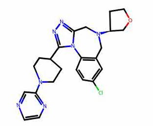 Clc1ccc2c(c1)CN([C@H]1CCOC1)Cc1nnc(C3CCN(c4cnccn4)CC3)n1-2